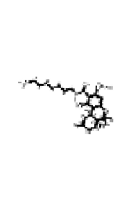 CCCCCc1cc2c(c(O)c1C(=O)NCCCCCCCN)[C@@H]1C=C(C)CC[C@H]1C(C)(C)O2